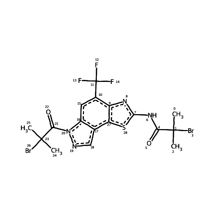 CC(C)(Br)C(=O)Nc1nc2c(C(F)(F)F)cc3c(cnn3C(=O)C(C)(C)Br)c2s1